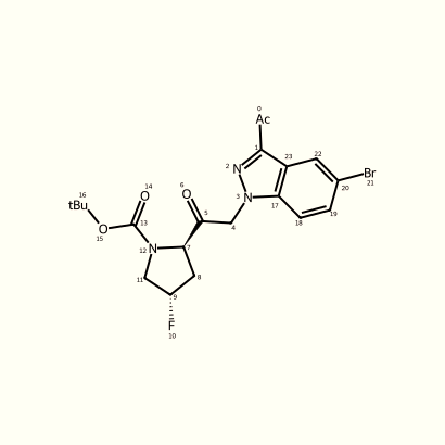 CC(=O)c1nn(CC(=O)[C@H]2C[C@H](F)CN2C(=O)OC(C)(C)C)c2ccc(Br)cc12